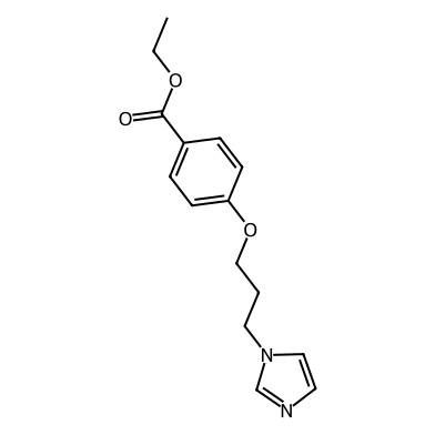 CCOC(=O)c1ccc(OCCCn2ccnc2)cc1